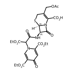 CCOC(=O)c1cn(C(C(=O)N[C@@H]2C(=O)N3C(C(=O)O)=C(COC(C)=O)CS[C@H]23)C(=O)OCC)c(C(=O)OCC)cc1=O